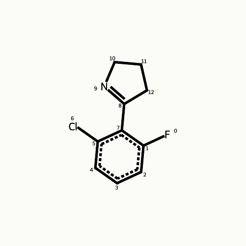 Fc1cccc(Cl)c1C1=NCCC1